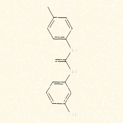 Cc1ccc(NC(=O)Nc2cccc(O)c2)cc1